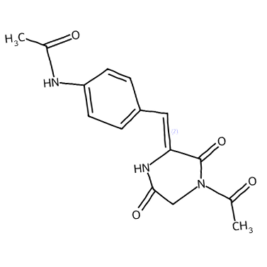 CC(=O)Nc1ccc(/C=C2\NC(=O)CN(C(C)=O)C2=O)cc1